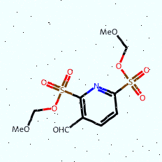 COCOS(=O)(=O)c1ccc(C=O)c(S(=O)(=O)OCOC)n1